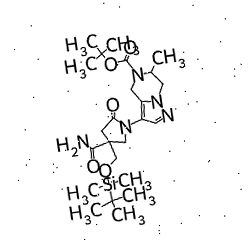 CC1Cn2ncc(N3CC(CO[Si](C)(C)C(C)(C)C)(C(N)=O)CC3=O)c2CN1C(=O)OC(C)(C)C